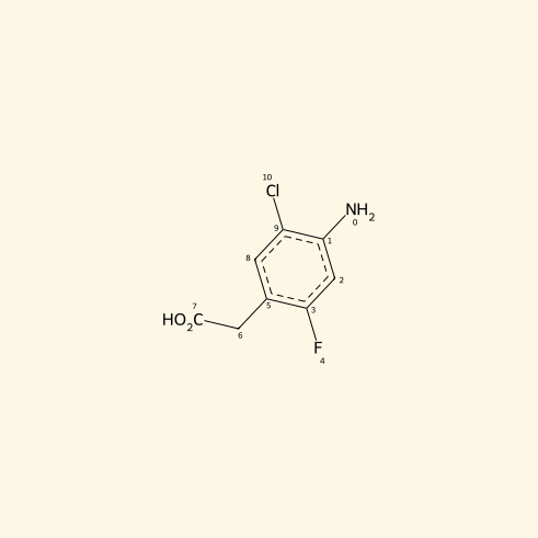 Nc1cc(F)c(CC(=O)O)cc1Cl